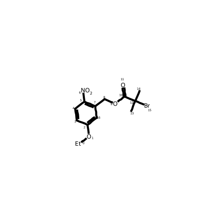 CCOc1ccc([N+](=O)[O-])c(COC(=O)C(C)(C)Br)c1